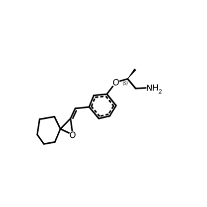 C[C@@H](CN)Oc1cccc(C=C2OC23CCCCC3)c1